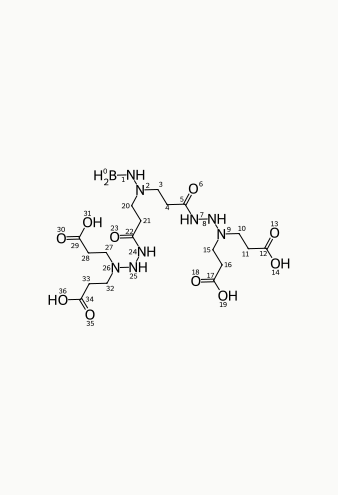 BNN(CCC(=O)NNN(CCC(=O)O)CCC(=O)O)CCC(=O)NNN(CCC(=O)O)CCC(=O)O